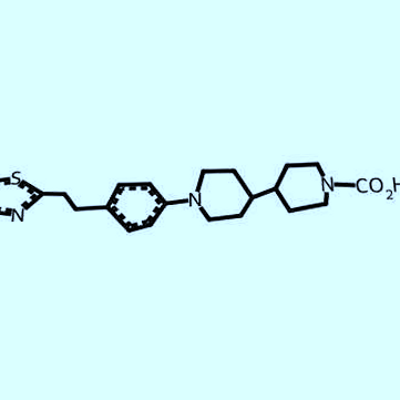 O=C(O)N1CCC(C2CCN(c3ccc(CCc4nccs4)cc3)CC2)CC1